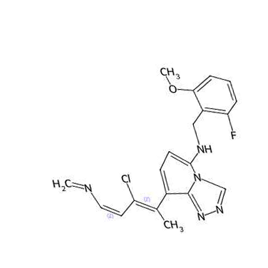 C=N/C=C\C(Cl)=C(/C)c1ccc(NCc2c(F)cccc2OC)n2cnnc12